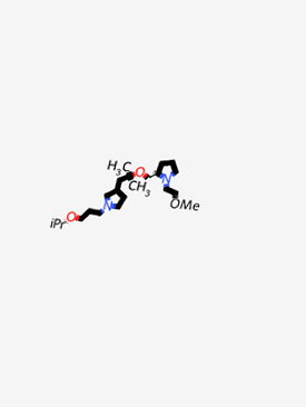 COCCN1CCC[C@H]1COC(C)(C)CC1CCN(CCCOC(C)C)C1